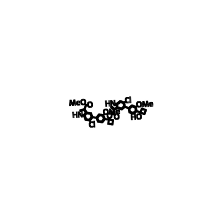 COC(=O)c1c[nH]c2cc(Cl)c(-c3ccc(C4(OC(=O)c5c[nH]c6cc(Cl)c(-c7ccc(C8(O)CCC8)c(OC)c7)cc56)CCC4)c(OC)c3)cc12